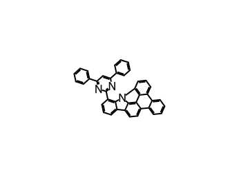 c1ccc(-c2cc(-c3ccccc3)nc(-c3cccc4c5ccc6c7ccccc7c7cccc8c7c6c5n8c34)n2)cc1